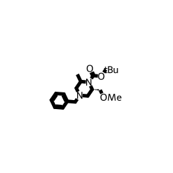 COC[C@@H]1CN(Cc2ccccc2)CC(C)N1C(=O)OC(C)(C)C